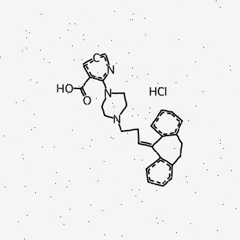 Cl.O=C(O)c1cccnc1N1CCN(CCC=C2c3ccccc3CCc3ccccc32)CC1